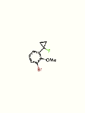 COc1c(Br)cccc1C1(F)CC1